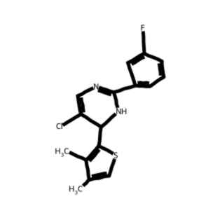 Cc1csc(C2NC(c3cccc(F)c3)=NC=C2Cl)c1C